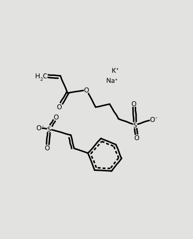 C=CC(=O)OCCCS(=O)(=O)[O-].O=S(=O)([O-])C=Cc1ccccc1.[K+].[Na+]